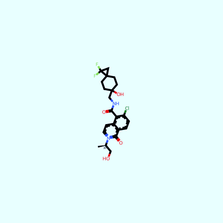 C[C@H](CO)n1ccc2c(C(=O)NCC3(O)CCC4(CC3)CC4(F)F)c(Cl)ccc2c1=O